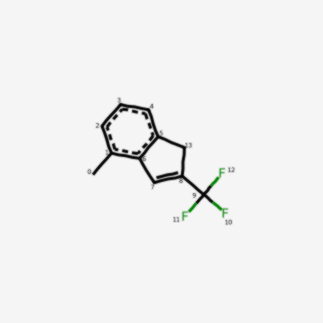 Cc1cccc2c1C=C(C(F)(F)F)C2